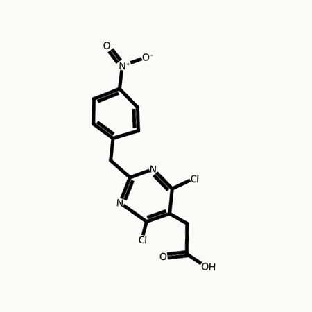 O=C(O)Cc1c(Cl)nc(Cc2ccc([N+](=O)[O-])cc2)nc1Cl